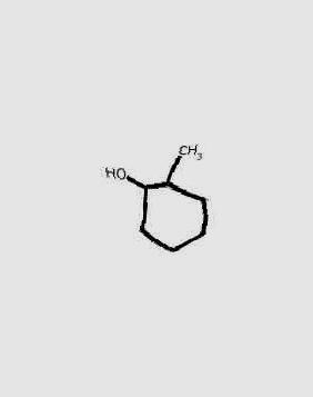 CC1[CH]CCCC1O